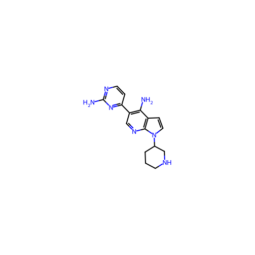 Nc1nccc(-c2cnc3c(ccn3C3CCCNC3)c2N)n1